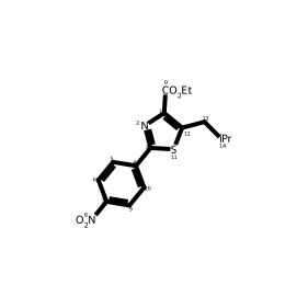 CCOC(=O)c1nc(-c2ccc([N+](=O)[O-])cc2)sc1CC(C)C